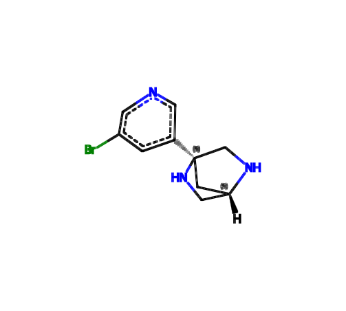 Brc1cncc([C@@]23CN[C@H](CN2)C3)c1